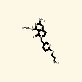 CCC[C@@H](C)Nc1nc(N)nc2ccn(Cc3ccc(OCCNC)nc3)c(=O)c12